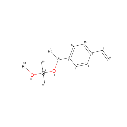 C=Cc1ccc(C(CC)O[Si](C)(C)OCC)cc1